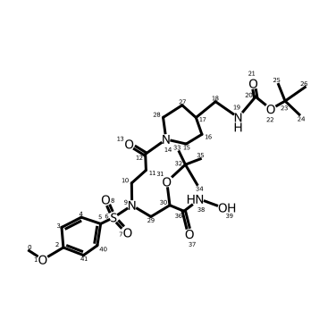 COc1ccc(S(=O)(=O)N(CCC(=O)N2CCC(CNC(=O)OC(C)(C)C)CC2)CC(OC(C)(C)C)C(=O)NO)cc1